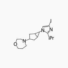 CC(C)c1nc(I)cn1C1C2CC(N3CCCOCC3)CC21